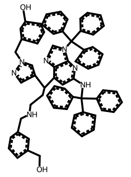 OCc1cccc(CNCCC(c2cnn(Cc3cccc(O)c3)c2)c2cc(NC(c3ccccc3)(c3ccccc3)c3ccccc3)nc3c2ncn3C(c2ccccc2)(c2ccccc2)c2ccccc2)c1